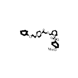 COc1ccc(S(=O)(=O)N2CCCCC2COCC(=O)N2CCN(CCOc3ccccc3)CC2)cc1